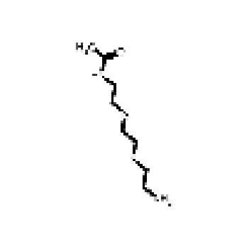 CC(=O)NCCNCCNCCN